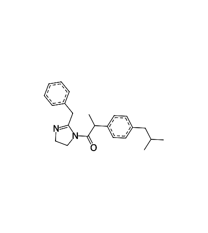 CC(C)Cc1ccc(C(C)C(=O)N2CCN=C2Cc2ccccc2)cc1